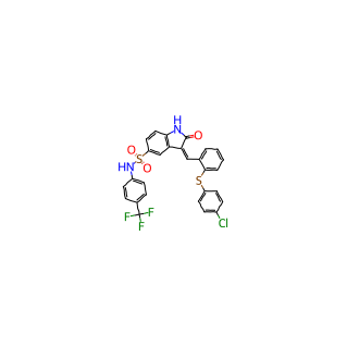 O=C1Nc2ccc(S(=O)(=O)Nc3ccc(C(F)(F)F)cc3)cc2C1=Cc1ccccc1Sc1ccc(Cl)cc1